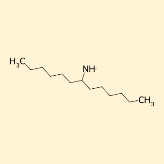 CCCCCCC([NH])CCCCCC